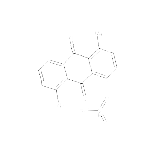 O=C1c2ccc[c]([Na])c2C(=O)c2ccc[c]([Na])c21.O=[SH](=O)O